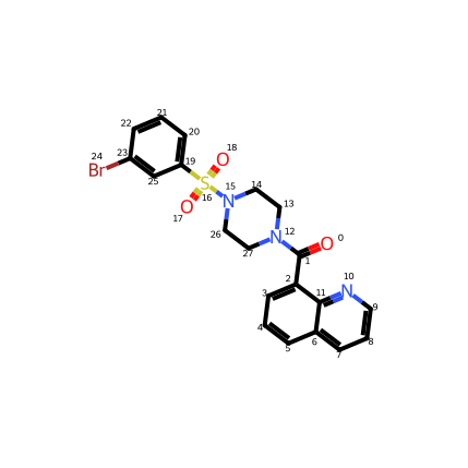 O=C(c1cccc2cccnc12)N1CCN(S(=O)(=O)c2cccc(Br)c2)CC1